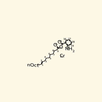 CCCCCCCCC=CCCCCCCCC(=O)OC(=O)c1ccccc1N.[Cr]